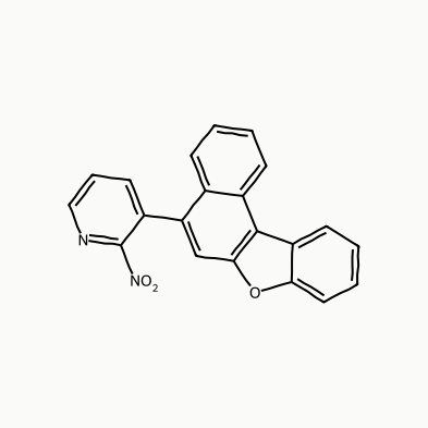 O=[N+]([O-])c1ncccc1-c1cc2oc3ccccc3c2c2ccccc12